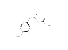 CCOc1ccc(C[C@H](NC(=O)OC(C)(C)C)C(=O)O)cc1Cl